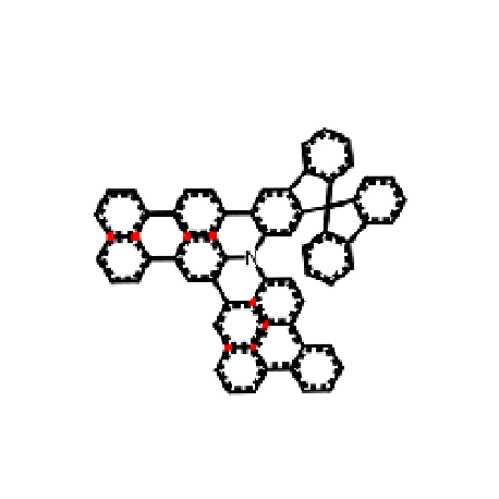 c1ccc(-c2ccc(-c3cc4c(cc3N(c3ccc5c6ccccc6c6ccccc6c5c3)c3ccc(-c5ccccc5)cc3-c3ccccc3)C3(c5ccccc5-c5ccccc53)c3ccccc3-4)cc2)cc1